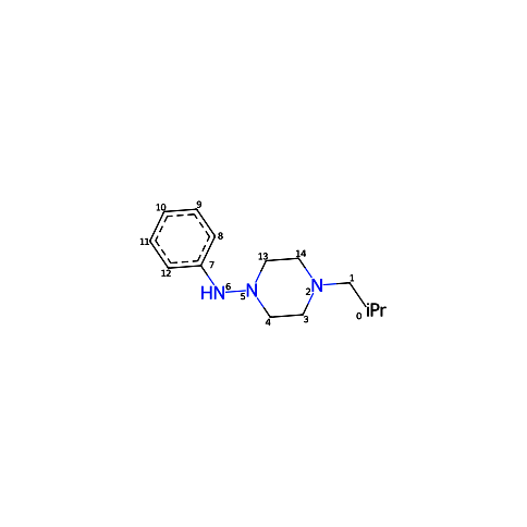 CC(C)CN1CCN(Nc2ccccc2)CC1